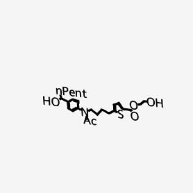 CCCCCC(O)c1ccc(N(CCCCc2ccc(C(=O)OCCO)s2)C(C)=O)cc1